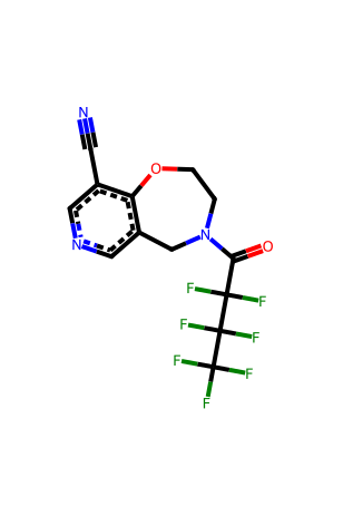 N#Cc1cncc2c1OCCN(C(=O)C(F)(F)C(F)(F)C(F)(F)F)C2